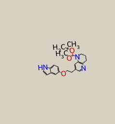 CC(C)(C)OC(=O)N1CCCc2ncc(CCOc3ccc4[nH]ccc4c3)cc21